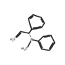 C=C[C@H](c1ccccc1)N(C)c1ccccc1